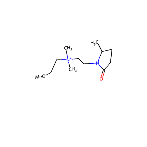 COCC[N+](C)(C)CCN1C(=O)CCC1C